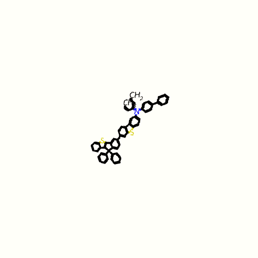 C=C/C=C(\C=C/C)N(c1ccc(-c2ccccc2)cc1)c1ccc2sc3cc(-c4ccc5c(c4)-c4sc6ccccc6c4C5(c4ccccc4)c4ccccc4)ccc3c2c1